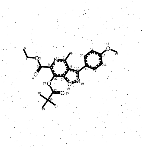 CCOC(=O)c1nc(C)c2c(-c3ccc(OC)cc3)noc2c1OC(=O)C(C)(C)C